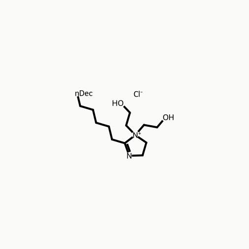 CCCCCCCCCCCCCCCC1=NCC[N+]1(CCO)CCO.[Cl-]